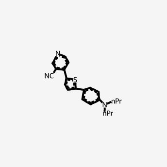 CCCN(CCC)c1ccc(-c2ccc(-c3ccncc3C#N)s2)cc1